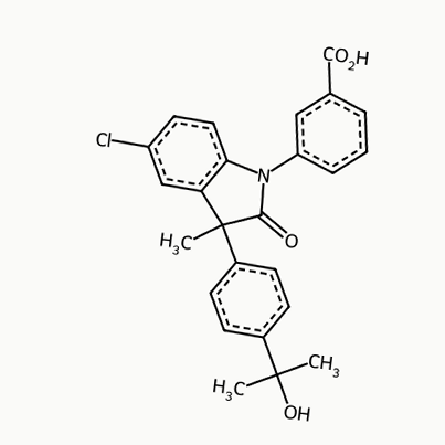 CC(C)(O)c1ccc(C2(C)C(=O)N(c3cccc(C(=O)O)c3)c3ccc(Cl)cc32)cc1